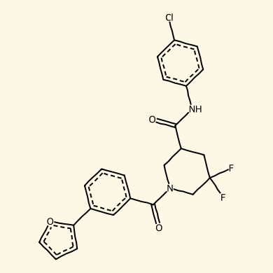 O=C(Nc1ccc(Cl)cc1)C1CN(C(=O)c2cccc(-c3ccco3)c2)CC(F)(F)C1